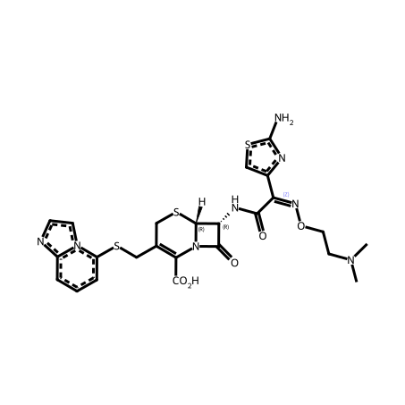 CN(C)CCO/N=C(\C(=O)N[C@@H]1C(=O)N2C(C(=O)O)=C(CSc3cccc4nccn34)CS[C@H]12)c1csc(N)n1